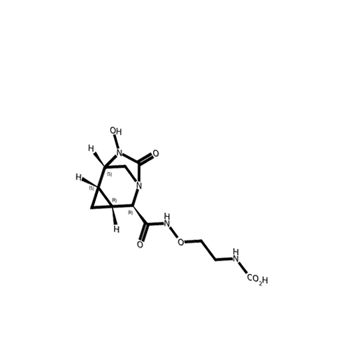 O=C(O)NCCONC(=O)[C@H]1[C@@H]2C[C@@H]2[C@H]2CN1C(=O)N2O